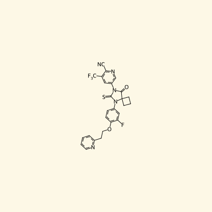 N#Cc1ncc(N2C(=O)C3(CCC3)N(c3ccc(OCCc4ccccn4)c(F)c3)C2=S)cc1C(F)(F)F